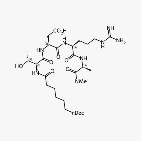 CCCCCCCCCCCCCCCC(=O)N[C@H](C(=O)N[C@@H](CC(=O)O)C(=O)N[C@@H](CCCNC(=N)N)C(=O)N[C@@H](C)C(=O)NC)[C@@H](C)O